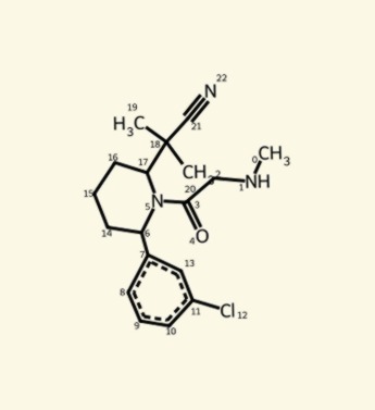 CNCC(=O)N1C(c2cccc(Cl)c2)CCCC1C(C)(C)C#N